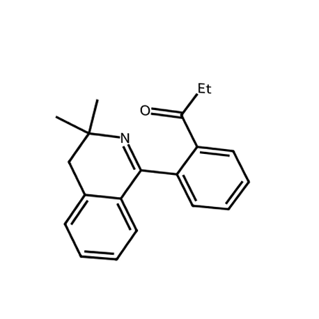 CCC(=O)c1ccccc1C1=NC(C)(C)Cc2ccccc21